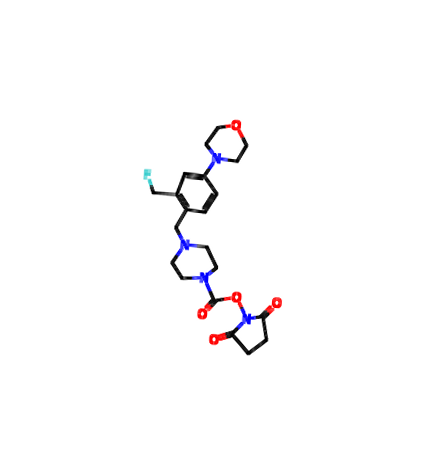 O=C(ON1C(=O)CCC1=O)N1CCN(Cc2ccc(N3CCOCC3)cc2CF)CC1